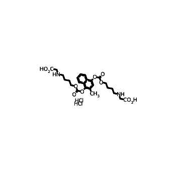 Cc1cc(OC(=O)OCCCCNCC(=O)O)c2ccccc2c1OC(=O)OCCCCNCC(=O)O.Cl.Cl